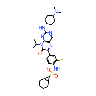 CC(C)n1c(=O)c(-c2ccc(NS(=O)(=O)C3C4CCCCC43)c(F)c2)nc2cnc(N[C@H]3CC[C@H](N(C)C)CC3)nc21